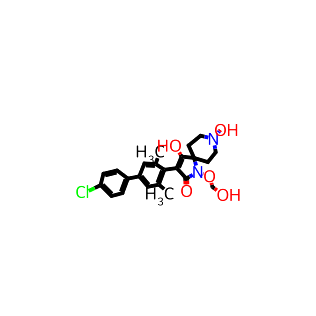 Cc1cc(-c2ccc(Cl)cc2)cc(C)c1C1=C(O)C2(CCN(O)CC2)N(OCO)C1=O